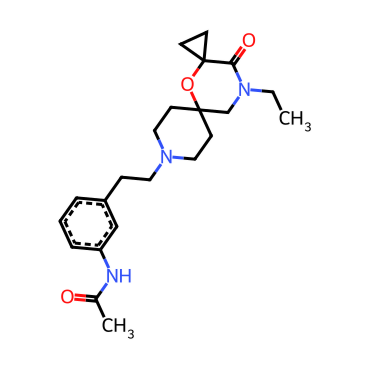 CCN1CC2(CCN(CCc3cccc(NC(C)=O)c3)CC2)OC2(CC2)C1=O